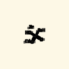 O=S(=O)(O)[SeH].[Cd].[Zn]